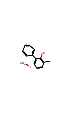 Cc1cccc(-c2ccccc2)c1O.O=C(O)O